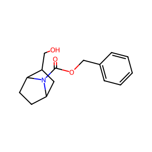 O=C(OCc1ccccc1)N1C2CCC1C(CO)C2